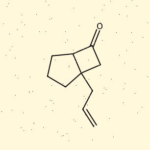 C=CCC12CCCC1C(=O)C2